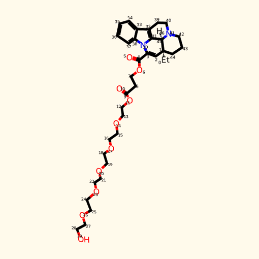 CC[C@@]12C=C(C(=O)OCCC(=O)OCCOCCOCCOCCOCCOCCO)n3c4c(c5ccccc53)CCN(CCC1)[C@H]42